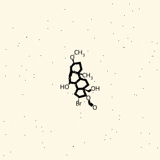 CO[C@H]1CC[C@@]2(C)C(=C[C@H](O)C3C4C[C@@H](Br)[C@H](OC=O)[C@@]4(CO)CCC32)C1